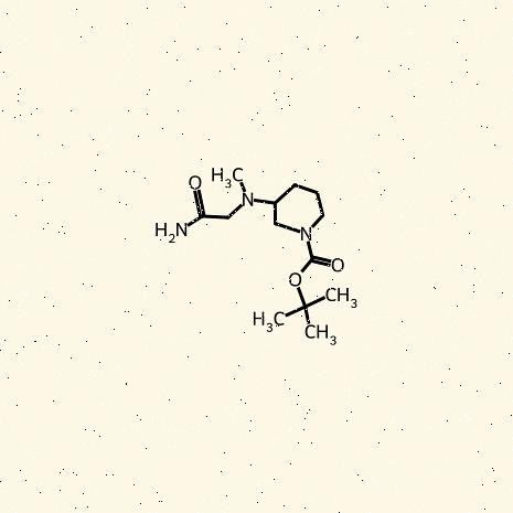 CN(CC(N)=O)C1CCCN(C(=O)OC(C)(C)C)C1